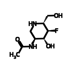 CC(=O)N[C@H]1CN[C@H](CO)[C@@H](F)[C@@H]1O